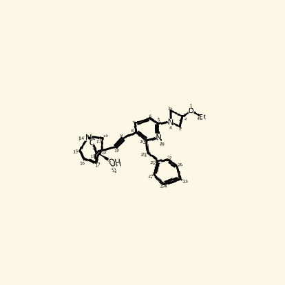 CCOC1CN(c2ccc(C#C[C@@]3(O)CN4CCC3CC4)c(Cc3ccccc3)n2)C1